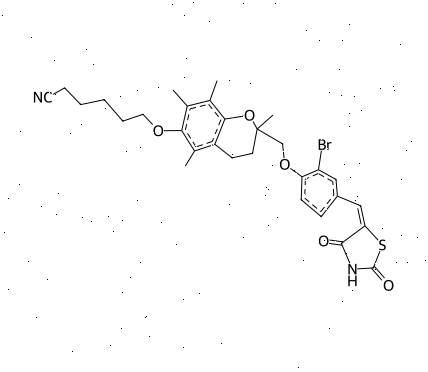 Cc1c(C)c2c(c(C)c1OCCCCCC#N)CCC(C)(COc1ccc(C=C3SC(=O)NC3=O)cc1Br)O2